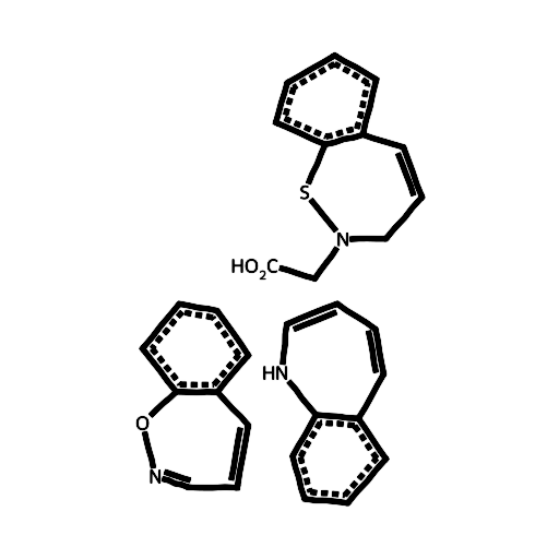 C1=CNc2ccccc2C=C1.C1=Cc2ccccc2ON=C1.O=C(O)CN1CC=Cc2ccccc2S1